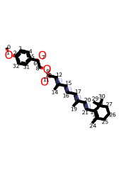 COc1ccc(C(=O)COC(=O)/C=C(C)/C=C/C=C(C)/C=C/C2=C(C)CCCC2(C)C)cc1